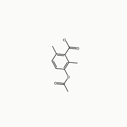 CC(=O)Oc1ccc(C)c(C(=O)Cl)c1C